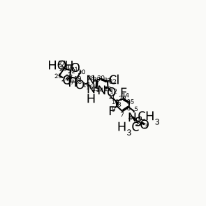 CS(C)(=O)=NCc1cc(F)c(COc2nc3[nH]c(O[C@@H]4CO[C@H]5[C@@H]4OC[C@H]5O)nc3cc2Cl)c(F)c1